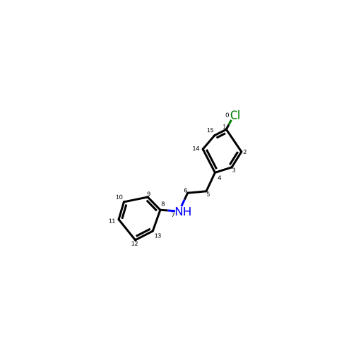 Clc1ccc(CCNc2ccccc2)cc1